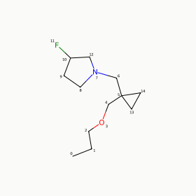 CCCOCC1(CN2CCC(F)C2)CC1